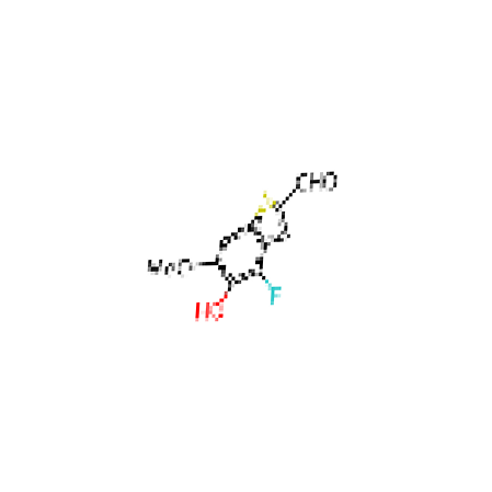 COc1cc2sc(C=O)cc2c(F)c1O